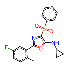 Cc1ccc(F)cc1-c1nc(S(=O)(=O)c2ccccc2)c(NC2CC2)o1